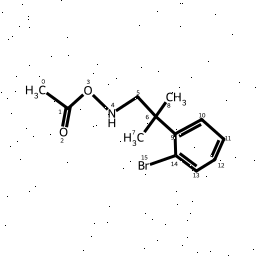 CC(=O)ONCC(C)(C)c1ccccc1Br